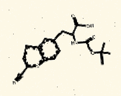 CC(C)(C)OC(=O)NC(Cc1ccc2nc(C#N)ccc2c1)C(=O)O